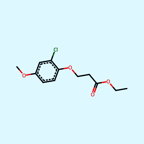 CCOC(=O)CCOc1ccc(OC)cc1Cl